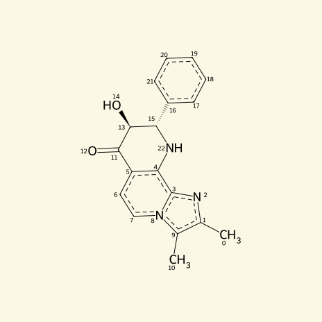 Cc1nc2c3c(ccn2c1C)C(=O)[C@@H](O)[C@H](c1ccccc1)N3